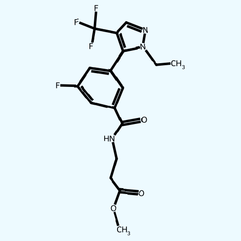 CCn1ncc(C(F)(F)F)c1-c1cc(F)cc(C(=O)NCCC(=O)OC)c1